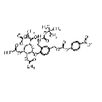 COC(=O)[C@H]1O[C@@H](Oc2ccc(COC(=O)Oc3ccc([N+](=O)[O-])cc3)cc2CNC(=O)OC(C)(C)C)[C@H](OC(C)=O)[C@@H](OC(C)=O)[C@@H]1OC(C)=O